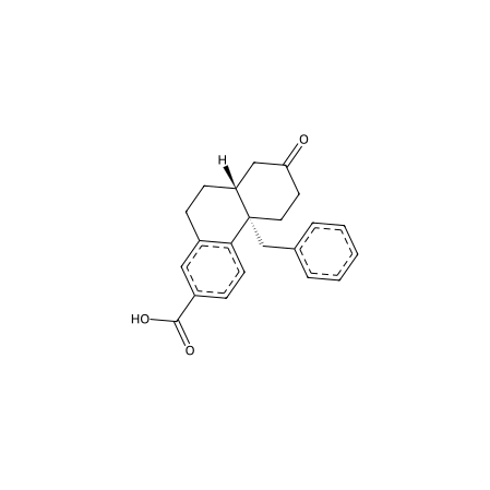 O=C1CC[C@@]2(Cc3ccccc3)c3ccc(C(=O)O)cc3CC[C@@H]2C1